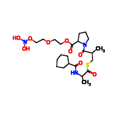 CC(CSC(=O)C(C)NC(=O)C1CCCCC1)C(=O)N1CCCC1C(=O)OCCOCCON(O)O